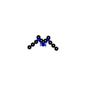 c1ccc(-c2ccc(-c3ccc(-n4c5ccccc5c5cc6c7cc8c9ccccc9n(-c9ccc(-c%10ccc(-c%11ccccc%11)cc%10)cc9)c8cc7c7nccnc7c6cc54)cc3)cc2)cc1